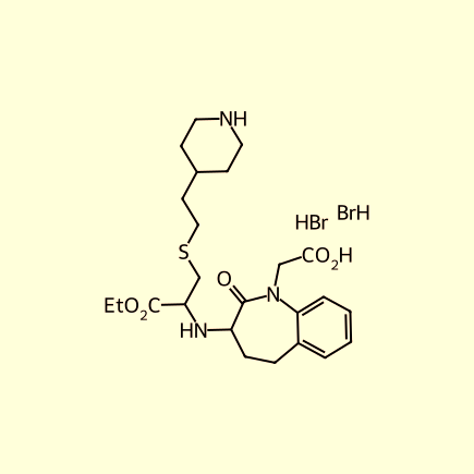 Br.Br.CCOC(=O)C(CSCCC1CCNCC1)NC1CCc2ccccc2N(CC(=O)O)C1=O